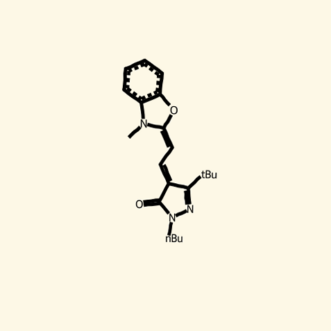 CCCCN1N=C(C(C)(C)C)/C(=C\C=C2\Oc3ccccc3N2C)C1=O